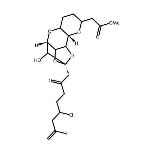 C=C(I)CC(Cl)CCC(=O)C[C@@]12OC3C(O1)[C@H]1OC(CC(=O)OC)CCC1O[C@H]3C2O